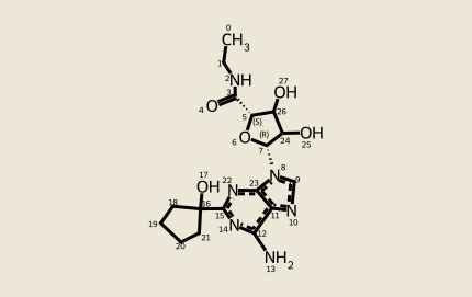 CCNC(=O)[C@H]1O[C@@H](n2cnc3c(N)nc(C4(O)CCCC4)nc32)C(O)C1O